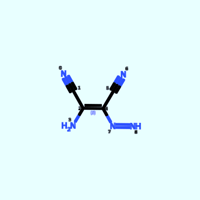 N#C/C(N)=C(\C#N)N=N